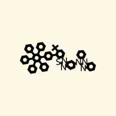 CC(C)(C)c1ccc2c(sc3nc4ccc(-n5c6ccccc6n6c7ccccc7nc56)cc4n32)c1-c1ccc(-c2c(-c3ccccc3)c(-c3ccccc3)c(-c3ccccc3)c(-c3ccccc3)c2-c2ccccc2)cc1